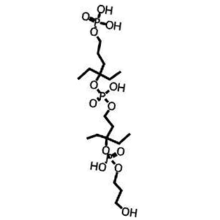 CCC(CC)(CCCOP(=O)(O)O)OP(=O)(O)OCCC(CC)(CC)OP(=O)(O)OCCCO